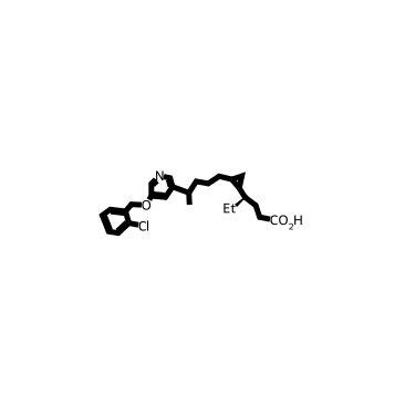 CC[C@H](CCC(=O)O)C1CC1CCCC(C)c1cncc(OCc2ccccc2Cl)c1